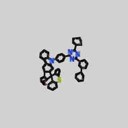 c1ccc(-c2cccc(-c3nc(-c4ccccc4)nc(-c4ccc(-n5c6ccccc6c6cc7c(cc65)C5(c6ccccc6Sc6ccccc65)c5ccccc5-7)cc4)n3)c2)cc1